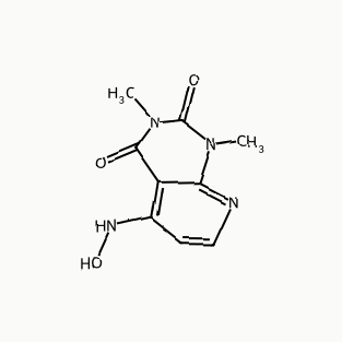 Cn1c(=O)c2c(NO)ccnc2n(C)c1=O